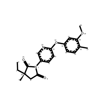 CC[C@@]1(C)CC(=O)N(c2ccc(Oc3ccc(C)c(OC)c3)nc2)C1=O